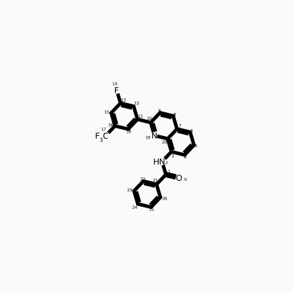 O=C(Nc1cccc2ccc(-c3cc(F)cc(C(F)(F)F)c3)nc12)c1ccccc1